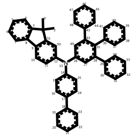 CC1(C)c2ccccc2-c2ccc(N(c3ccc(-c4ccccc4)cc3)c3cc(-c4ccccc4)c(-c4ccccc4)c(-c4ccccc4)c3)cc21